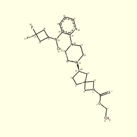 CCOC(=O)N1CC2(CC[C@@H](N3CCN(c4ncccc4N(C)C4CC(F)(F)C4)CC3)C2)C1